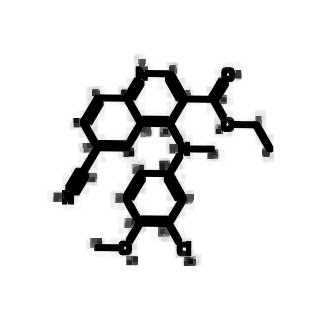 CCOC(=O)c1cnc2ccc(C#N)cc2c1N(C)c1ccc(OC)c(Cl)c1